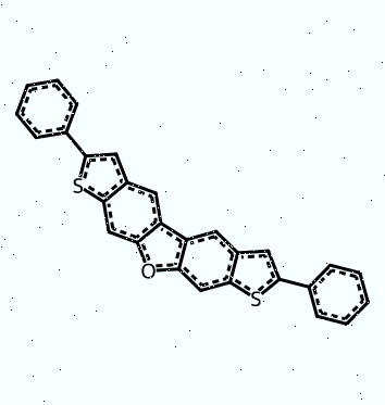 c1ccc(-c2cc3cc4c(cc3s2)oc2cc3sc(-c5ccccc5)cc3cc24)cc1